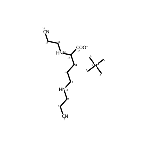 C[N+](C)(C)C.N#CCCNCCCC(NCCC#N)C(=O)[O-]